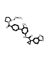 COC[C@H]1CCCN1C(=O)c1ccc(-c2cc(NC(=O)C3(c4ccc5c(c4)OCO5)CC3)ccc2C)cc1